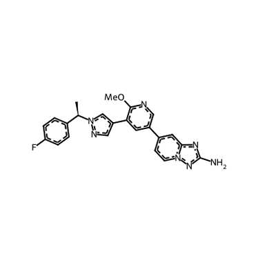 COc1ncc(-c2ccn3nc(N)nc3c2)cc1-c1cnn([C@H](C)c2ccc(F)cc2)c1